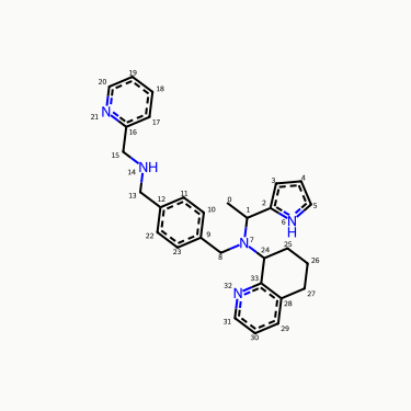 CC(c1ccc[nH]1)N(Cc1ccc(CNCc2ccccn2)cc1)C1CCCc2cccnc21